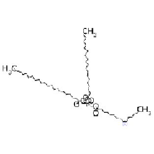 CCCCC/C=C\CCCCCCCC(=O)OC[C@H](COC(=O)CCCCCCCCCCCCCCCCCCCCC)OC(=O)CCCCCCCCCCCCCCCCCCC